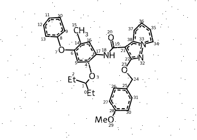 CCC(CC)Oc1cc(Oc2ccccc2)c(C)cc1NC(=O)c1c(OCc2ccc(OC)cc2)nn2ccccc12